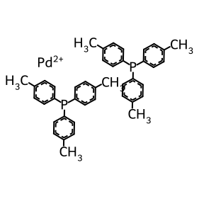 Cc1ccc(P(c2ccc(C)cc2)c2ccc(C)cc2)cc1.Cc1ccc(P(c2ccc(C)cc2)c2ccc(C)cc2)cc1.[Pd+2]